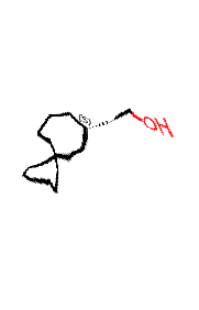 OC[C@H]1CCC2(CC2)C1